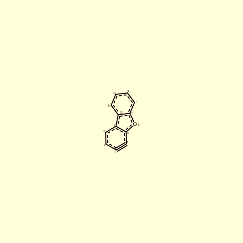 c1ccc2c(c#1)oc1ccccc12